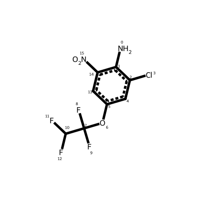 Nc1c(Cl)cc(OC(F)(F)C(F)F)cc1[N+](=O)[O-]